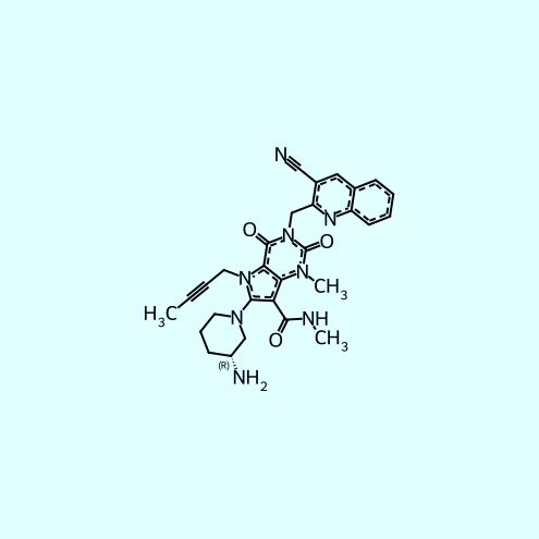 CC#CCn1c(N2CCC[C@@H](N)C2)c(C(=O)NC)c2c1c(=O)n(Cc1nc3ccccc3cc1C#N)c(=O)n2C